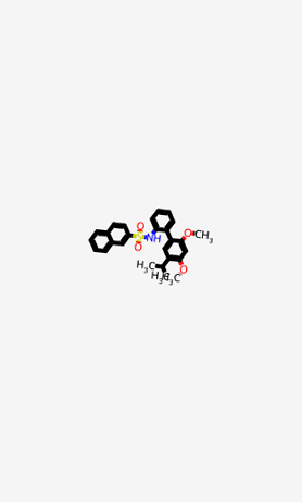 COc1cc(OC)c(C(C)C)cc1-c1ccccc1NS(=O)(=O)c1ccc2ccccc2c1